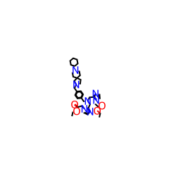 CCOC(=O)Cn1ccnc1CN(Cc1ccc(CN2CCC3(CCN(C4CCCCC4)CC3)C2)cc1)Cc1nccn1CC(=O)OCC